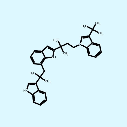 CC(C)(C)c1cn(CCC(C)(C)c2cc3cccc(CC(C)(C)c4c[nH]c5ccccc45)c3[nH]2)c2ccccc12